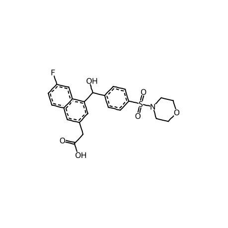 O=C(O)Cc1cc(C(O)c2ccc(S(=O)(=O)N3CCOCC3)cc2)c2cc(F)ccc2c1